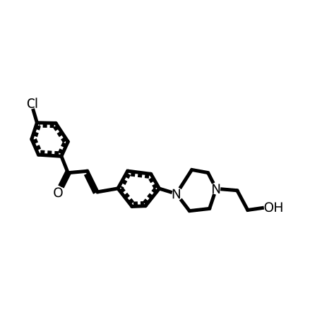 O=C(/C=C/c1ccc(N2CCN(CCO)CC2)cc1)c1ccc(Cl)cc1